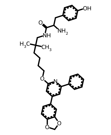 CC(C)(CCCCOc1cc(-c2ccc3c(c2)OCO3)cc(-c2ccccc2)n1)CNC(=O)C(N)Cc1ccc(O)cc1